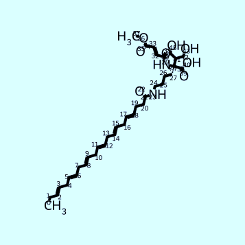 CCC=CCC=CCC=CCC=CCC=CCC=CCCC(=O)NCCCC[C@@](NC(=O)C=CC(=O)OC)(C(=O)O)C(CO)CO